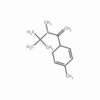 C=C(C1C=CC(C)=CC1)N(C)C(C)(C)C